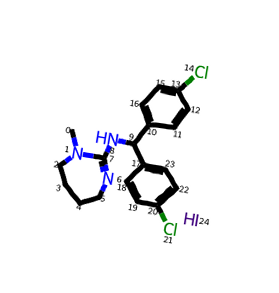 CN1CCCCN=C1NC(c1ccc(Cl)cc1)c1ccc(Cl)cc1.I